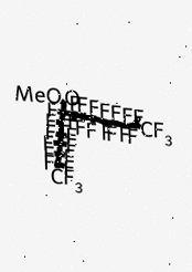 COC(=O)C(F)(C(F)(F)C(F)(F)C(F)(F)C(F)(F)C(F)(F)C(F)(F)F)C(F)(F)C(F)(F)C(F)(F)C(F)(F)C(F)(F)C(F)(F)C(F)(F)C(F)(F)F